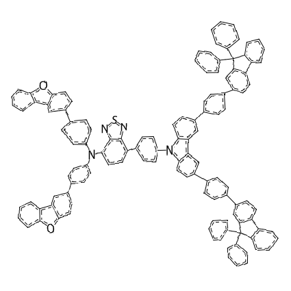 c1ccc(C2(c3ccccc3)c3ccccc3-c3ccc(-c4ccc(-c5ccc6c(c5)c5cc(-c7ccc(-c8ccc9c(c8)C(c8ccccc8)(c8ccccc8)c8ccccc8-9)cc7)ccc5n6-c5ccc(-c6ccc(N(c7ccc(-c8ccc9oc%10ccccc%10c9c8)cc7)c7ccc(-c8ccc9oc%10ccccc%10c9c8)cc7)c7nsnc67)cc5)cc4)cc32)cc1